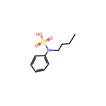 CCCCN(c1cc[c]cc1)S(=O)(=O)O